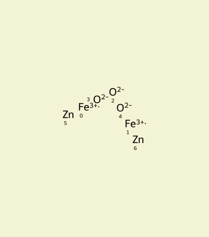 [Fe+3].[Fe+3].[O-2].[O-2].[O-2].[Zn].[Zn]